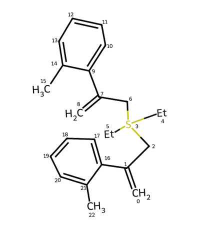 C=C(CS(CC)(CC)CC(=C)c1ccccc1C)c1ccccc1C